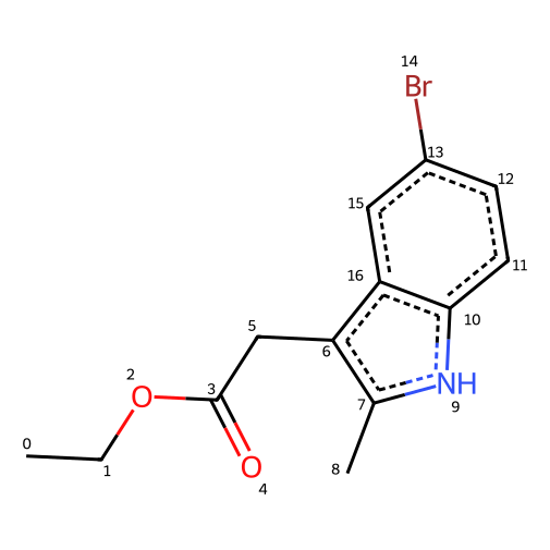 CCOC(=O)Cc1c(C)[nH]c2ccc(Br)cc12